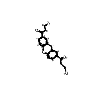 O=C(CCCl)c1ccc2c(c1)Cc1cc(C(=O)CCCl)ccc1O2